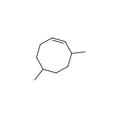 [CH2]C1CCC=CC(C)CC1